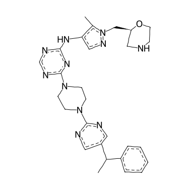 Cc1c(Nc2ncnc(N3CCN(c4ncc(C(C)c5ccccc5)cn4)CC3)n2)cnn1C[C@@H]1CNCCO1